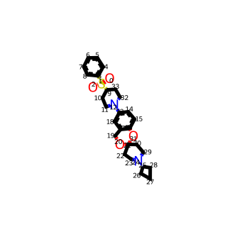 O=S(=O)(c1ccccc1)C1CCN(c2ccc3c(c2)COC2(CCN(C4CCC4)CC2)O3)CC1